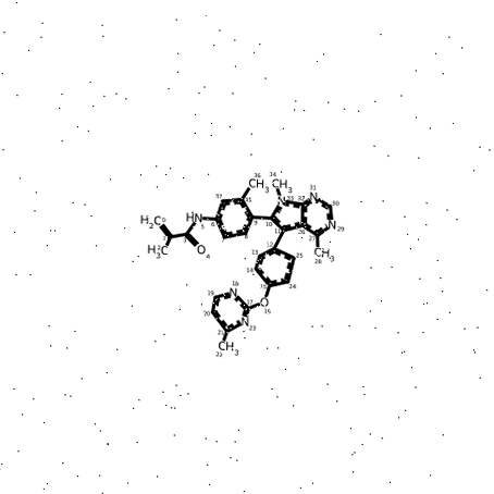 C=C(C)C(=O)Nc1ccc(-c2c(-c3ccc(Oc4nccc(C)n4)cc3)c3c(C)ncnc3n2C)c(C)c1